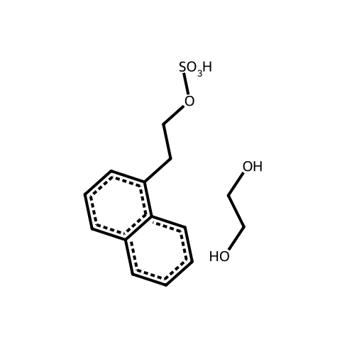 O=S(=O)(O)OCCc1cccc2ccccc12.OCCO